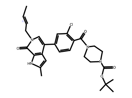 C/C=C/Cn1cc(-c2ccc(C(=O)N3CCN(C(=O)OC(C)(C)C)CC3)c(Cl)c2)c2cc(C)[nH]c2c1=O